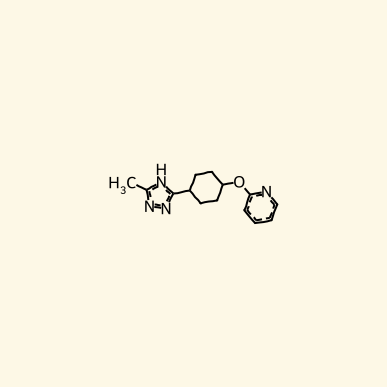 Cc1nnc(C2CCC(Oc3ccccn3)CC2)[nH]1